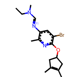 CCN(C)/C=N/c1cc(Br)c(OC2CC(C)=C(C)C2)nc1C